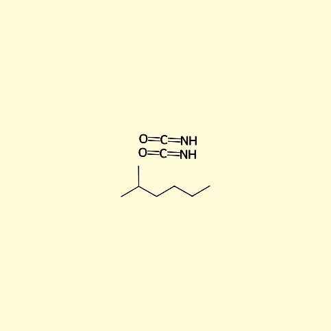 CCCCC(C)C.N=C=O.N=C=O